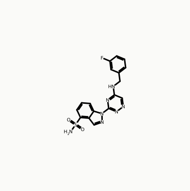 NS(=O)(=O)c1cccc2c1cnn2-c1nncc(NCc2cccc(F)c2)n1